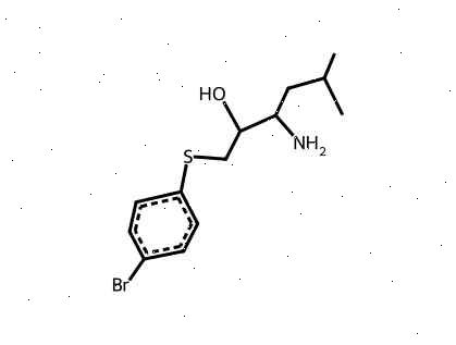 CC(C)CC(N)C(O)CSc1ccc(Br)cc1